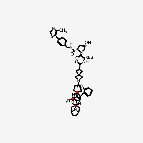 Cc1ncsc1-c1ccc(CNC(=O)[C@@H]2C[C@@H](O)CN2C(=O)[C@@H](NC(=O)C2CC3(C2)CN(C2CCC(c4cnc(N5C6CCC5CN(c5cc(-c7ccccc7O)nnc5N)C6)nc4)CC2)C3)C(C)(C)C)cc1